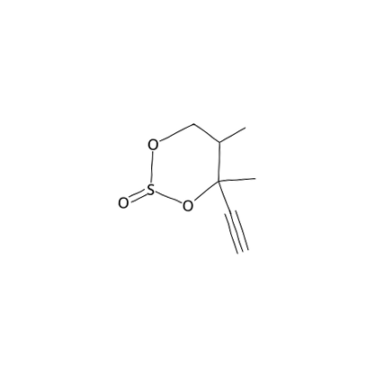 C#CC1(C)OS(=O)OCC1C